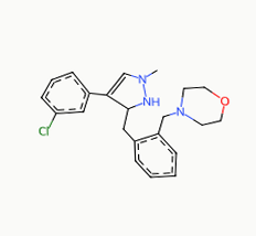 CN1C=C(c2cccc(Cl)c2)C(Cc2ccccc2CN2CCOCC2)N1